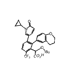 CC(C)(C)OC(C(=O)O)c1c(C(F)(F)F)ccc(-c2ccc(=O)n(C3CC3)c2)c1-c1ccc2c(c1)CCCO2